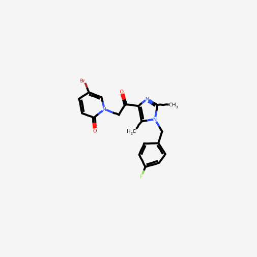 Cc1nc(C(=O)Cn2cc(Br)ccc2=O)c(C)n1Cc1ccc(F)cc1